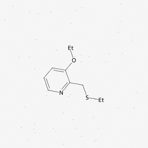 [CH2]CSCc1ncccc1OCC